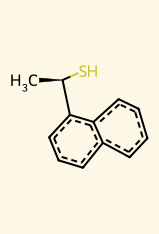 C[C@@H](S)c1cccc2ccccc12